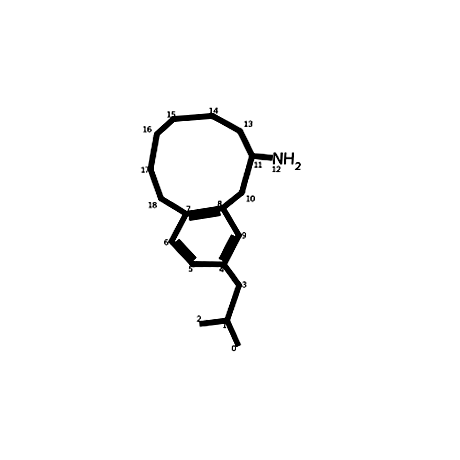 CC(C)Cc1ccc2c(c1)CC(N)CCCCCC2